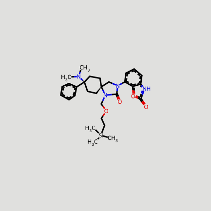 CN(C)[C@]1(c2ccccc2)CC[C@@]2(CC1)CN(c1cccc3[nH]c(=O)oc13)C(=O)N2COCC[Si](C)(C)C